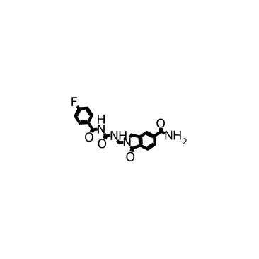 NC(=O)c1ccc2c(c1)CN(CNC(=O)NC(=O)c1ccc(F)cc1)C2=O